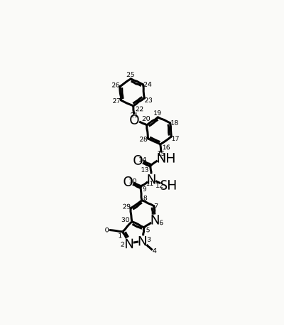 Cc1nn(C)c2ncc(C(=O)N(S)C(=O)Nc3cccc(Oc4ccccc4)c3)cc12